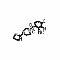 O=S(=O)(c1ccc(Cl)c2nonc12)N1CCN(c2ncccn2)CC1